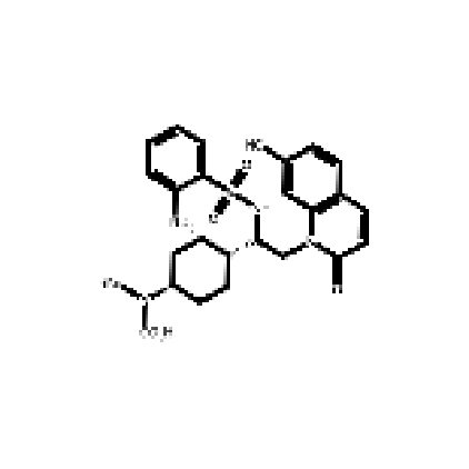 CC(C)(C)N(C(=O)O)[C@H]1CC[C@H](C(Cn2c(=O)ccc3ccc(C#N)cc32)NS(=O)(=O)c2ccccc2[N+](=O)[O-])CC1